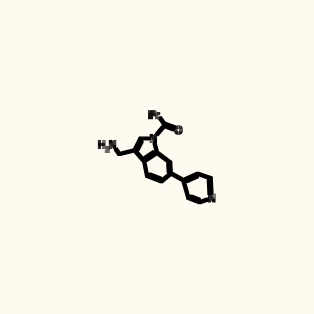 CC(C)C(=O)n1cc(CN)c2ccc(-c3ccncc3)cc21